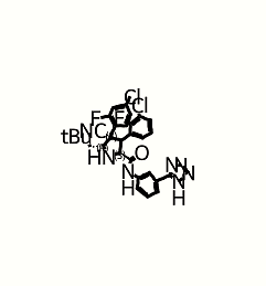 CC(C)(C)C[C@H]1N[C@H](C(=O)Nc2cccc(-c3nnn[nH]3)c2)C(c2cccc(Cl)c2F)[C@]1(C#N)c1ccc(Cl)cc1F